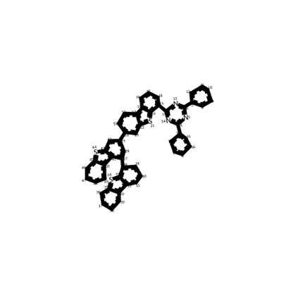 c1ccc(-c2nc(-c3ccccc3)nc(-c3cccc4c3sc3cc(-c5cc(-c6cccc7c6sc6ccccc67)c6c(c5)sc5ccccc56)ccc34)n2)cc1